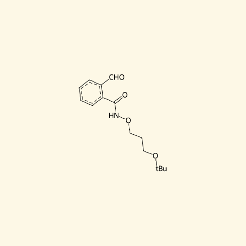 CC(C)(C)OCCCONC(=O)c1ccccc1C=O